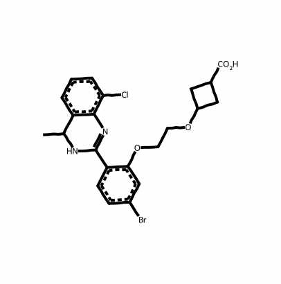 CC1NC(c2ccc(Br)cc2OCCOC2CC(C(=O)O)C2)=Nc2c(Cl)cccc21